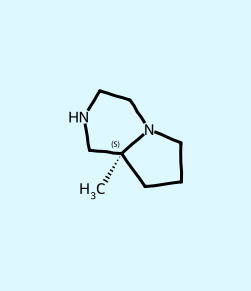 C[C@@]12CCCN1CCNC2